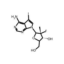 C[C@]1(F)C(n2cc(I)c3c(N)ncnc32)OC(CO)[C@H]1O